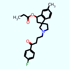 CCC(=O)OC1CC2(CCN(CCCC(=O)c3ccc(F)cc3)C2)c2ccc(C)cc21